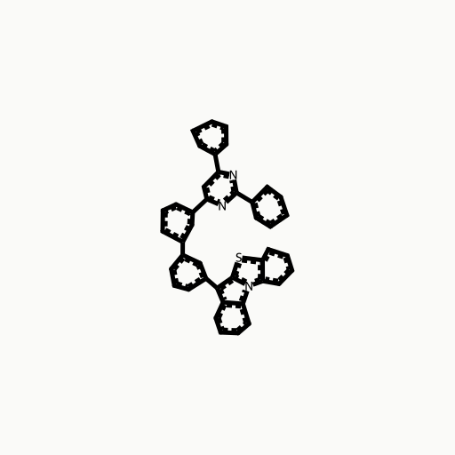 c1ccc(-c2cc(-c3cccc(-c4cccc(-c5c6ccccc6n6c5sc5ccccc56)c4)c3)nc(-c3ccccc3)n2)cc1